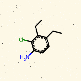 CCc1ccc(N)c(Cl)c1CC